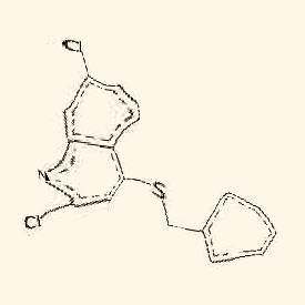 Clc1ccc2c(SCc3ccccc3)cc(Cl)nc2c1